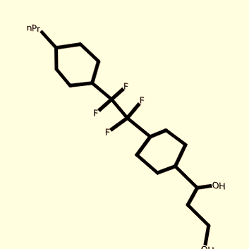 CCCC1CCC(C(F)(F)C(F)(F)C2CCC(C(O)CCO)CC2)CC1